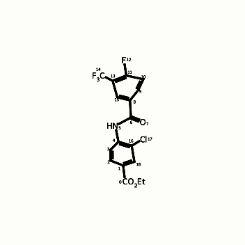 CCOC(=O)c1ccc(NC(=O)c2ccc(F)c(C(F)(F)F)c2)c(Cl)c1